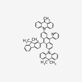 C=C1c2ccccc2N(c2ccc3c(-c4ccc5c(c4)C(C)(C)c4ccccc4-5)c4cc(N5c6ccccc6C(C)(C)c6ccccc65)ccc4c(-c4ccccn4)c3c2)c2ccccc21